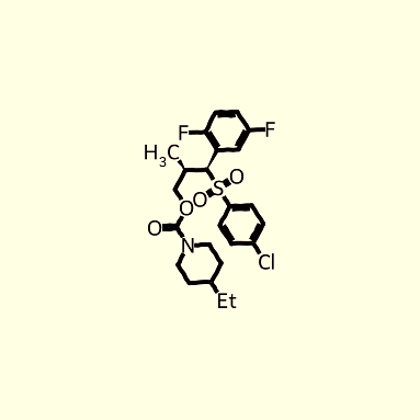 CCC1CCN(C(=O)OC[C@@H](C)[C@@H](c2cc(F)ccc2F)S(=O)(=O)c2ccc(Cl)cc2)CC1